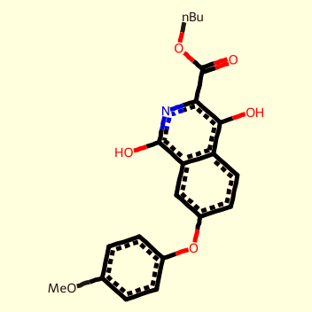 CCCCOC(=O)c1nc(O)c2cc(Oc3ccc(OC)cc3)ccc2c1O